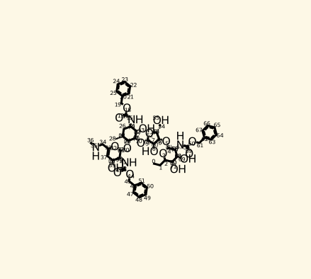 CCC1O[C@H](O[C@H]2[C@@H](O)[C@H](O[C@@H]3[C@@H](O)[C@H](NC(=O)OCc4ccccc4)C[C@H](C)[C@H]3O[C@H]3OC(CNC)=C[C@H](O)[C@H]3NC(=O)OCc3ccccc3)O[C@@H]2CO)[C@H](NC(=O)OCc2ccccc2)[C@@H](O)[C@@H]1O